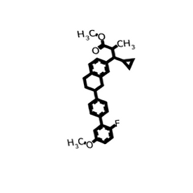 COC(=O)C(C)C(c1ccc2c(c1)CC(c1ccc(-c3cc(OC)ccc3F)cc1)CC2)C1CC1